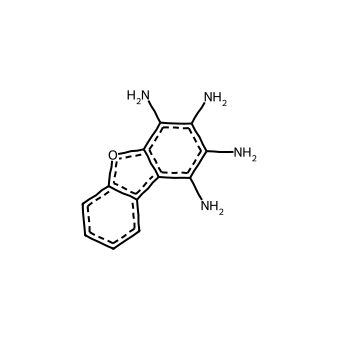 Nc1c(N)c(N)c2c(oc3ccccc32)c1N